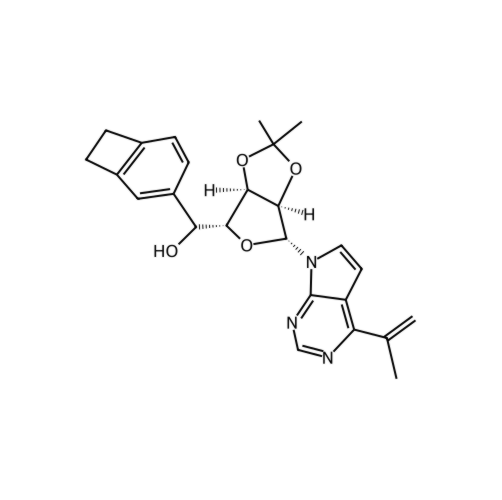 C=C(C)c1ncnc2c1ccn2[C@@H]1O[C@H](C(O)c2ccc3c(c2)CC3)[C@H]2OC(C)(C)O[C@H]21